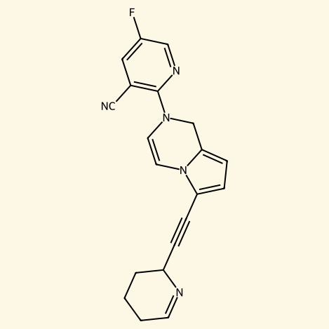 N#Cc1cc(F)cnc1N1C=Cn2c(C#CC3CCCC=N3)ccc2C1